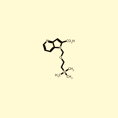 C[Si](C)(C)CCOCn1c(C(=O)O)cc2ncccc21